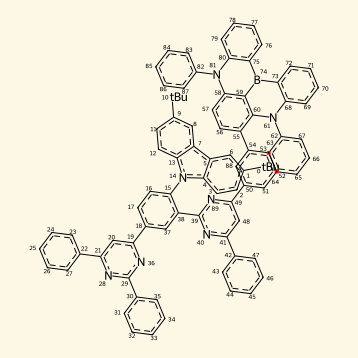 CC(C)(C)c1ccc2c(c1)c1cc(C(C)(C)C)ccc1n2-c1ccc(-c2cc(-c3ccccc3)nc(-c3ccccc3)n2)cc1-c1nc(-c2ccccc2)cc(-c2cccc(-c3ccc4c5c3N(c3ccccc3)c3ccccc3B5c3ccccc3N4c3ccccc3)c2)n1